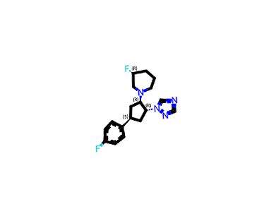 Fc1ccc([C@H]2C[C@@H](N3CCC[C@@H](F)C3)[C@H](n3cncn3)C2)cc1